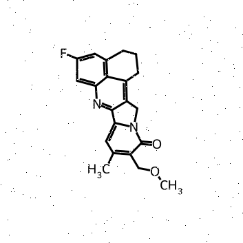 COCc1c(C)cc2n(c1=O)Cc1c-2nc2cc(F)cc3c2c1CCC3